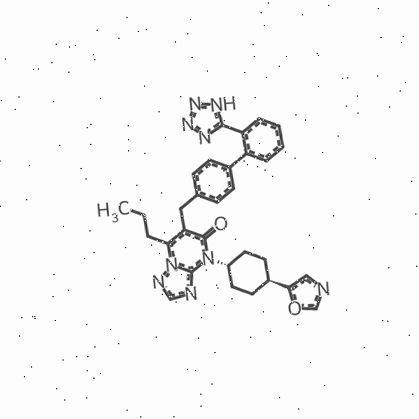 CCCc1c(Cc2ccc(-c3ccccc3-c3nnn[nH]3)cc2)c(=O)n([C@H]2CC[C@H](c3cnco3)CC2)c2ncnn12